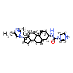 Cc1cn(C2=CCC3C4CC=C5C[C@@H](NC(=O)N6C=CN=CC6)CC[C@]5(C)C4CC[C@]23C)cn1